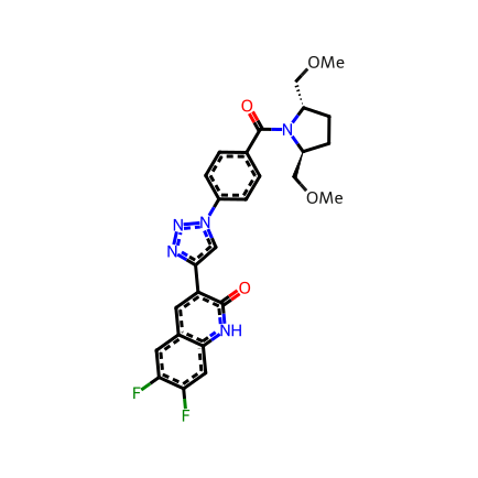 COC[C@@H]1CC[C@@H](COC)N1C(=O)c1ccc(-n2cc(-c3cc4cc(F)c(F)cc4[nH]c3=O)nn2)cc1